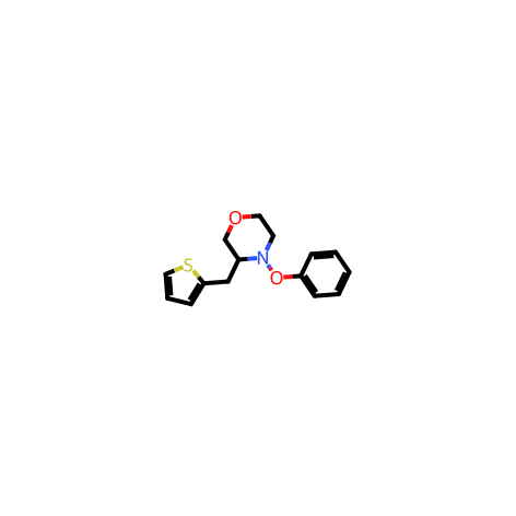 c1ccc(ON2CCOCC2Cc2cccs2)cc1